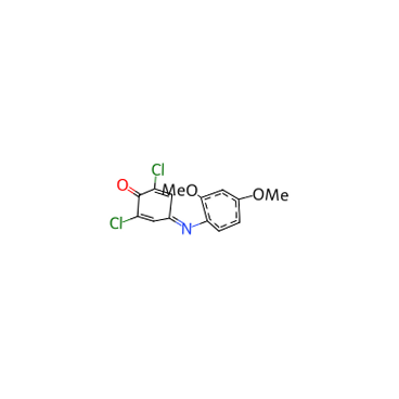 COc1ccc(N=C2C=C(Cl)C(=O)C(Cl)=C2)c(OC)c1